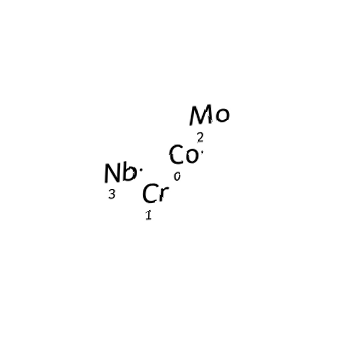 [Co].[Cr].[Mo].[Nb]